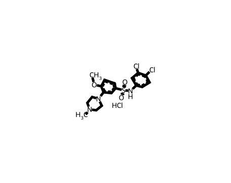 COc1ccc(S(=O)(=O)Nc2ccc(Cl)c(Cl)c2)cc1N1CCN(C)CC1.Cl